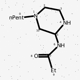 [CH2]CCCCN1CCNC(NC(=O)CC)C1